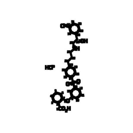 Cl.O=C(O)c1ccccc1Oc1cccc(S(=O)(=O)c2ccc(CCCNC[C@@H](O)c3cccc(Cl)c3)cc2)c1